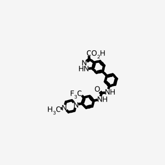 CN1CCN(c2ccc(NC(=O)Nc3cccc(-c4ccc5c(C(=O)O)n[nH]c5c4)c3)cc2C(F)(F)F)CC1